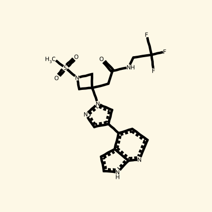 CS(=O)(=O)N1CC(CC(=O)NCC(F)(F)F)(n2cc(-c3ccnc4[nH]ccc34)cn2)C1